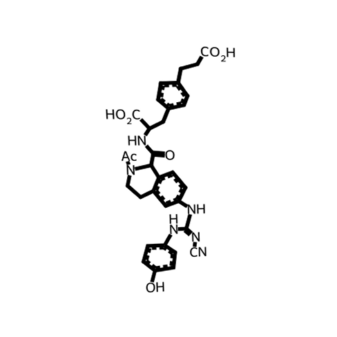 CC(=O)N1CCc2cc(NC(=NC#N)Nc3ccc(O)cc3)ccc2C1C(=O)NC(Cc1ccc(CCC(=O)O)cc1)C(=O)O